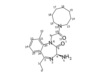 CCC1=N[C@H](N)C(=O)N(CC(=O)N2CCCCCCC2)c2c(C)cccc21